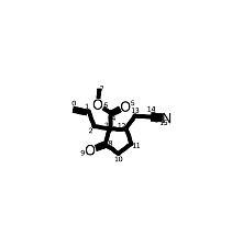 C=CCC1(C(=O)OC)C(=O)CCC1CC#N